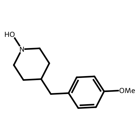 COc1ccc(CC2CCN(O)CC2)cc1